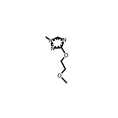 COCCOc1ncn(C)n1